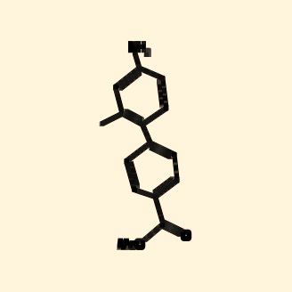 COC(=O)c1ccc(-c2ccc(N)cc2C)cc1